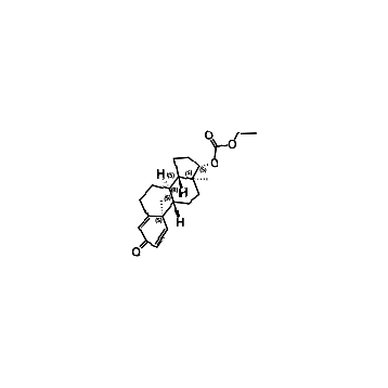 CCOC(=O)O[C@H]1CC[C@H]2[C@@H]3CCC4=CC(=O)C=C[C@]4(C)[C@H]3CC[C@]12C